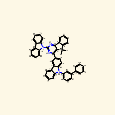 C[Si]1(C)c2ccccc2-c2nc(-n3c4ccccc4c4ccccc43)nc(-c3ccc4c(c3)c3ccccc3n4-c3cccc(-c4ccccc4)c3)c21